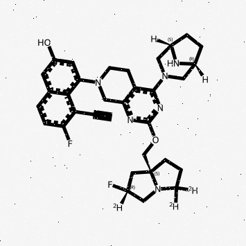 [2H]C1([2H])CC[C@@]2(COc3nc4c(c(N5C[C@H]6CC[C@@H](C5)N6)n3)CCN(c3cc(O)cc5ccc(F)c(C#C)c35)C4)C[C@@]([2H])(F)CN12